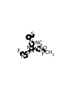 C=C(F)C(=O)N1CCN(c2nc(OCC34CCCN3C[C@H](F)C4)nc3c2CCN(c2cccc4sccc24)C3)C[C@@H]1CC#N